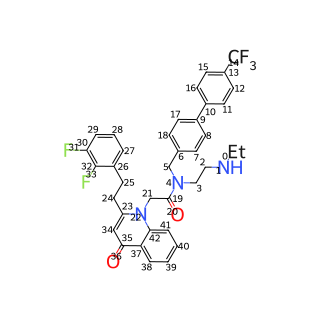 CCNCCN(Cc1ccc(-c2ccc(C(F)(F)F)cc2)cc1)C(=O)Cn1c(CCc2cccc(F)c2F)cc(=O)c2ccccc21